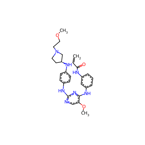 C=CC(=O)Nc1cccc(Nc2nc(Nc3ccc(N[C@H]4CCN(CCOC)C4)cc3)ncc2OC)c1